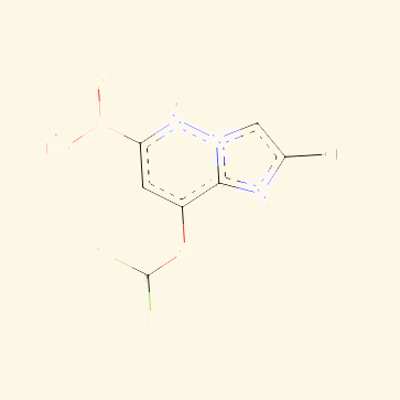 Cc1cn2nc(B(O)O)cc(OC(F)F)c2n1